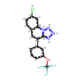 FC(F)(F)Oc1cccc(-c2cc3ccc(Cl)cc3n3nnnc23)c1